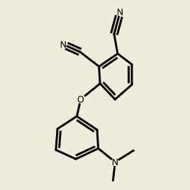 CN(C)c1cccc(Oc2cccc(C#N)c2C#N)c1